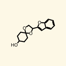 OC1CCC2(CC1)OCC(c1cc3ccccc3o1)O2